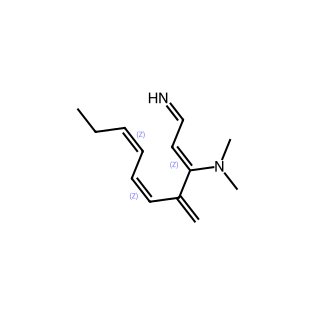 C=C(/C=C\C=C/CC)/C(=C/C=N)N(C)C